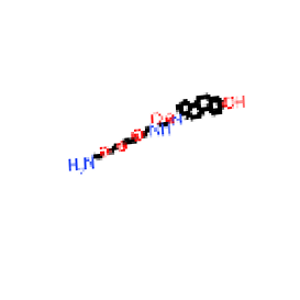 C[C@]12CCC3c4ccc(O)cc4CCC3C1CC/C2=N\OCC(=O)NCCOCCOCCOCCN